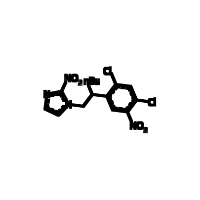 CCCCC(Cn1ccnc1[N+](=O)[O-])c1cc([N+](=O)[O-])c(Cl)cc1Cl